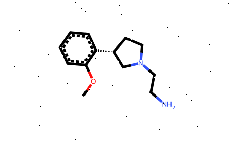 COc1ccccc1[C@@H]1CCN(CCN)C1